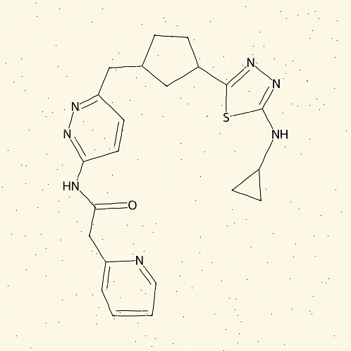 O=C(Cc1ccccn1)Nc1ccc(CC2CCC(c3nnc(NC4CC4)s3)C2)nn1